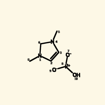 CN1C=CN(C)C1.[O-][I+2]([O-])O